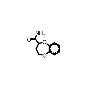 NC(=O)C1CCOc2cc[c]cc2O1